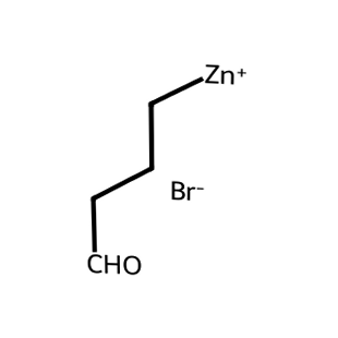 O=CCC[CH2][Zn+].[Br-]